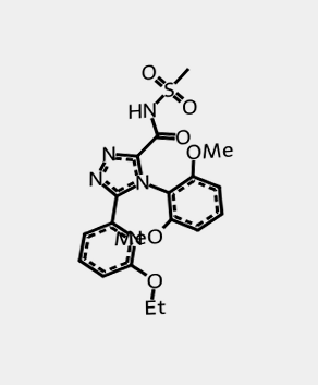 CCOc1cccc(-c2nnc(C(=O)NS(C)(=O)=O)n2-c2c(OC)cccc2OC)n1